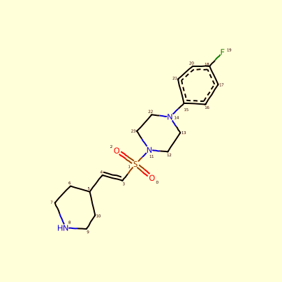 O=S(=O)(C=CC1CCNCC1)N1CCN(c2ccc(F)cc2)CC1